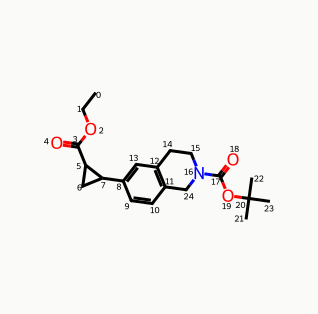 CCOC(=O)C1CC1c1ccc2c(c1)CCN(C(=O)OC(C)(C)C)C2